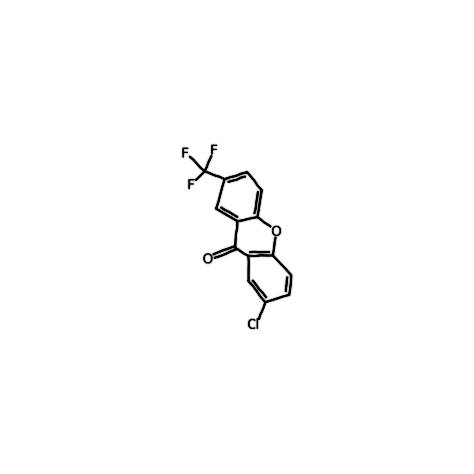 O=c1c2cc(Cl)ccc2oc2ccc(C(F)(F)F)cc12